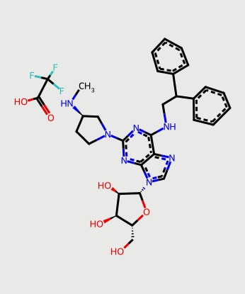 CN[C@@H]1CCN(c2nc(NCC(c3ccccc3)c3ccccc3)c3ncn([C@@H]4O[C@H](CO)[C@@H](O)[C@H]4O)c3n2)C1.O=C(O)C(F)(F)F